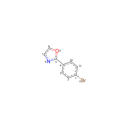 Brc1ccc(-c2n[c]co2)cc1